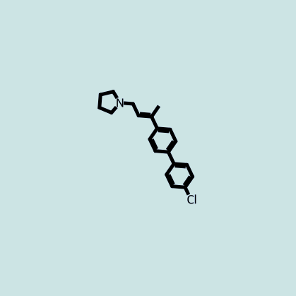 CC(=CCN1CCCC1)c1ccc(-c2ccc(Cl)cc2)cc1